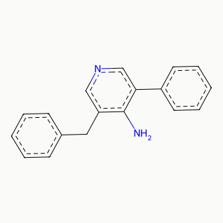 Nc1c(Cc2ccccc2)cncc1-c1ccccc1